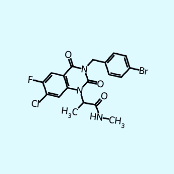 CNC(=O)C(C)n1c(=O)n(Cc2ccc(Br)cc2)c(=O)c2cc(F)c(Cl)cc21